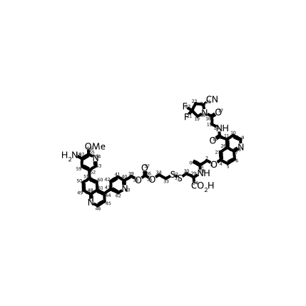 C=C(COc1ccc2nccc(C(=O)NCC(=O)N3CC(F)(F)C[C@H]3C#N)c2c1)NC(CSSCCOC(=O)OCc1ccc(-c2ccnc3ccc(-c4cnc(OC)c(N)c4)cc23)cn1)C(=O)O